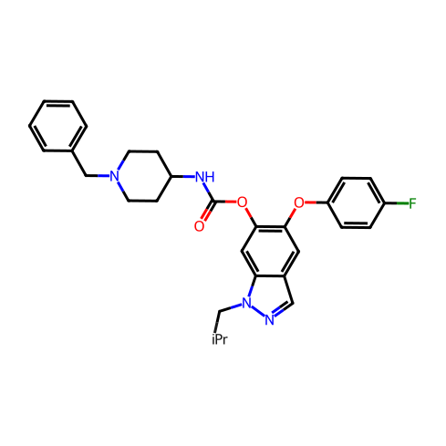 CC(C)Cn1ncc2cc(Oc3ccc(F)cc3)c(OC(=O)NC3CCN(Cc4ccccc4)CC3)cc21